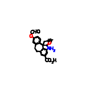 CC(C)CC1(C(N)=O)c2ccc(OC=O)cc2CCc2cc(C(=O)O)ccc21